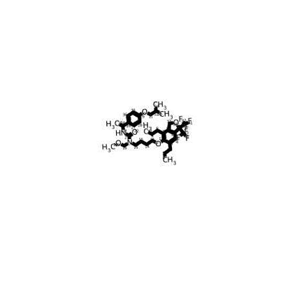 CCCc1cc2c(c(CCC)c1OCCCCN(COC)C(=O)NC(C)c1ccc(OCC(C)C)cc1)COC2(C(F)(F)F)C(F)(F)F